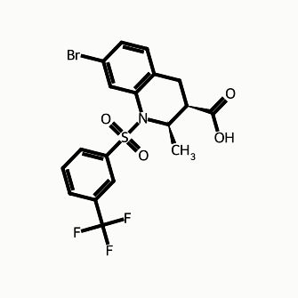 C[C@@H]1[C@H](C(=O)O)Cc2ccc(Br)cc2N1S(=O)(=O)c1cccc(C(F)(F)F)c1